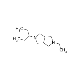 CCC(CC)N1CC2CN(CC)CC2C1